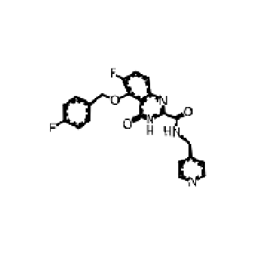 O=C(NCc1ccncc1)c1nc2ccc(F)c(OCc3ccc(F)cc3)c2c(=O)[nH]1